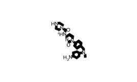 CCN(Cc1ccc(-n2ccc(NC(=O)N3CCNC[C@H]3C)nc2=O)cc1)C1CCC(N)CC1